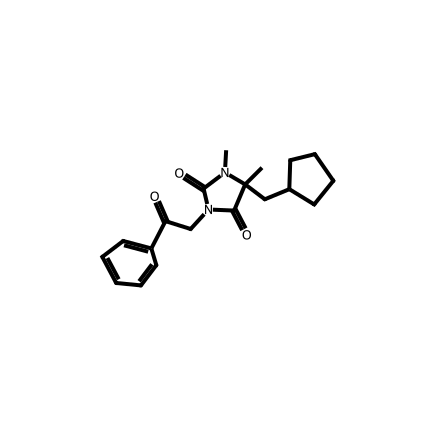 CN1C(=O)N(CC(=O)c2ccccc2)C(=O)C1(C)CC1CCCC1